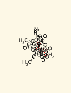 CCCCOCC1OC(OCCN=[N+]=[N-])C(OC(=O)c2ccccc2)C(OC(=O)c2ccccc2)C1OC1OC2COC(c3ccccc3)OC2C(OC2OC(COCCCC)C(OC3OC4COC(c5ccccc5)OC4C(OP)C3OC(=O)c3ccccc3)C(OC(=O)c3ccccc3)C2OC(=O)c2ccccc2)C1OC(=O)c1ccccc1